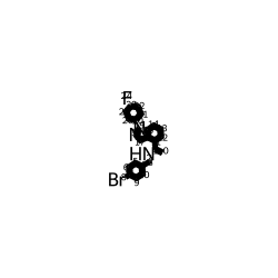 C=C(NCc1ccc(Br)cc1)c1cccc2c1cnn2-c1ccc(F)cc1